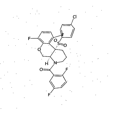 O=C(c1cc(F)ccc1F)N1CCC[C@]2(S(=O)(=O)c3ccc(Cl)cc3)c3c(F)ccc(F)c3OC[C@H]12